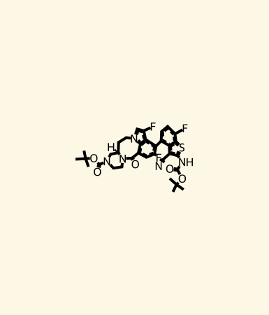 CC(C)(C)OC(=O)Nc1sc2c(F)ccc(-c3c(F)cc4c5c3c(F)cn5CC[C@H]3CN(C(=O)OC(C)(C)C)CCN3C4=O)c2c1C#N